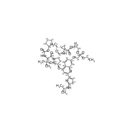 C=C[C@@H]1C[C@]1(NC(=O)[C@@H]1C[C@@H](Oc2cc(-c3csc(NC(C)C)n3)nc3cc(OCP(=O)(OCC)OCC)ccc23)CN1C(=O)C(NC(=O)OC1CCCC1)C(C)(C)C)C(=O)O